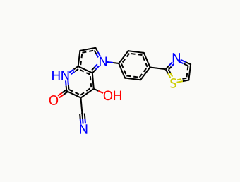 N#Cc1c(O)c2c(ccn2-c2ccc(-c3nccs3)cc2)[nH]c1=O